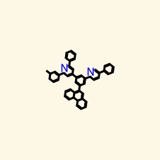 CC1C=C(c2cc(-c3cc(C4=C5C=CC=CC5C5C=CC=CC5=C4)cc(-c4ccc(-c5ccccc5)cn4)c3)cc(-c3ccccc3)n2)C=CC1